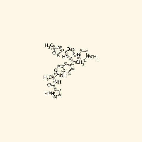 CCn1nccc1C(=O)N[C@@H](C)C(=O)Nc1ccc([C@H](C)[C@@H](NC(=O)c2coc(C)n2)C(=O)N2CCN(C)CC2)cc1F